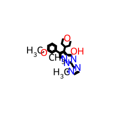 COc1cccc(-c2cn3nc(-c4nccn4C)nc(O)c3c2C2CCOCC2)c1C